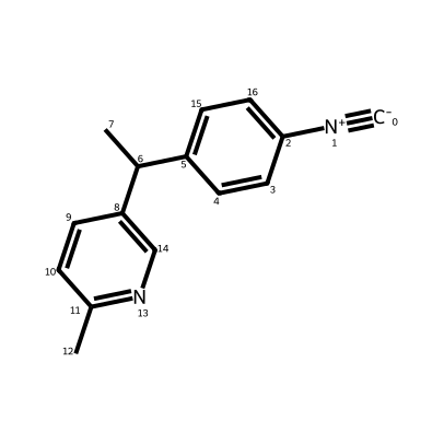 [C-]#[N+]c1ccc(C(C)c2ccc(C)nc2)cc1